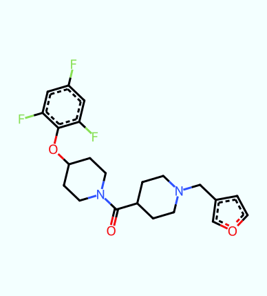 O=C(C1CCN(Cc2ccoc2)CC1)N1CCC(Oc2c(F)cc(F)cc2F)CC1